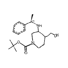 C[C@@H](NC1CN(C(=O)OC(C)(C)C)CCC1CO)c1ccccc1